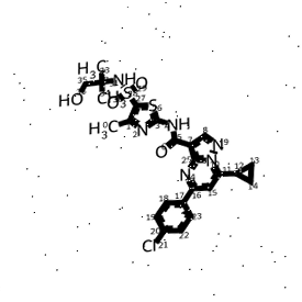 Cc1nc(NC(=O)c2cnn3c(C4CC4)cc(-c4ccc(Cl)cc4)nc23)sc1S(=O)(=O)NC(C)(C)CO